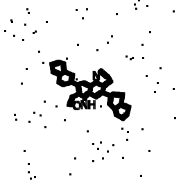 C1=Cc2c(-c3ccc4ccccc4c3)cc3c(cc(-c4ccc5ccccc5c4)c4cccnc43)c2NC1